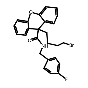 O=C(NCc1ccc(F)cc1)C1(CCCCBr)c2ccccc2Oc2ccccc21